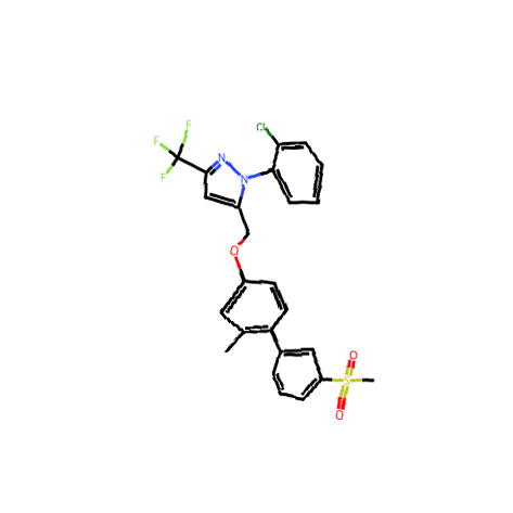 Cc1cc(OCc2cc(C(F)(F)F)nn2-c2ccccc2Cl)ccc1-c1cccc(S(C)(=O)=O)c1